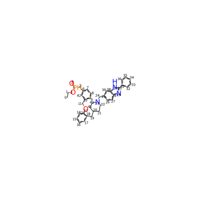 CCO[PH](=O)Cc1cccc(COc2ccccc2CC2CCN(Cc3ccc4nc(-c5ccccc5)[nH]c4c3)CC2)c1